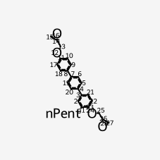 CCCCCc1cc(-c2ccc(-c3ccc(OCC4CO4)cc3)cc2)ccc1OCC1CO1